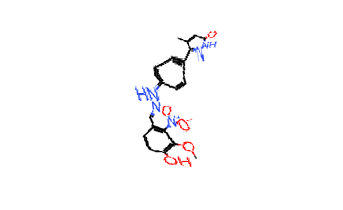 COc1c(O)ccc(C=NNc2ccc(-c3n[nH]c(=O)cc3C)cc2)c1[N+](=O)[O-]